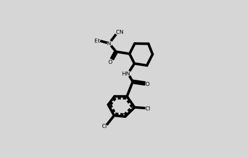 CCN(C#N)C(=O)C1CCCCC1NC(=O)c1ccc(Cl)cc1Cl